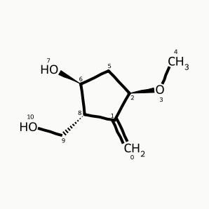 C=C1[C@H](OC)C[C@H](O)[C@H]1CO